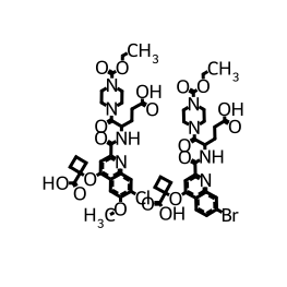 CCOC(=O)N1CCN(C(=O)C(CCC(=O)O)NC(=O)c2cc(OC3(C(=O)O)CCC3)c3cc(OC)c(Cl)cc3n2)CC1.CCOC(=O)N1CCN(C(=O)C(CCC(=O)O)NC(=O)c2cc(OC3(C(=O)O)CCC3)c3ccc(Br)cc3n2)CC1